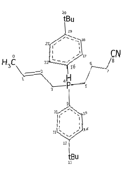 C/C=C/C[PH](CCCC#N)(c1ccc(C(C)(C)C)cc1)c1ccc(C(C)(C)C)cc1